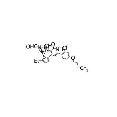 CCc1ccc(-c2cc(-c3ccc(OCCCC(F)(F)F)cc3Cl)[nH]c(=O)c2N(C)/N=N\NC=O)s1